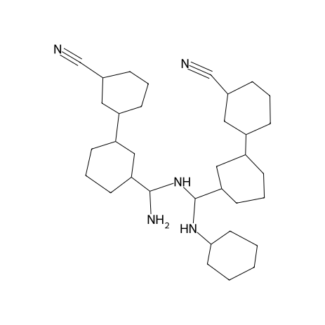 N#CC1CCCC(C2CCCC(C(N)NC(NC3CCCCC3)C3CCCC(C4CCCC(C#N)C4)C3)C2)C1